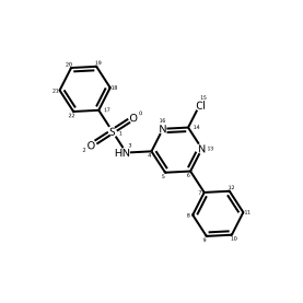 O=S(=O)(Nc1cc(-c2ccccc2)nc(Cl)n1)c1ccccc1